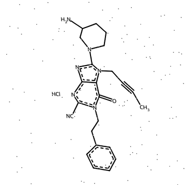 CC#CCn1c(N2CCCC(N)C2)nc2nc(C#N)n(CCc3ccccc3)c(=O)c21.Cl